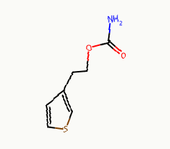 NC(=O)OCCc1ccsc1